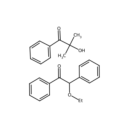 CC(C)(O)C(=O)c1ccccc1.CCOC(C(=O)c1ccccc1)c1ccccc1